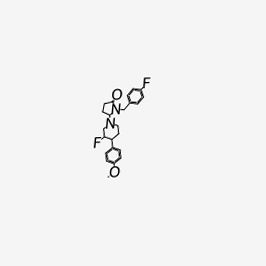 COc1ccc(C2CCN(C3CCC(=O)N3Cc3ccc(F)cc3)CC2F)cc1